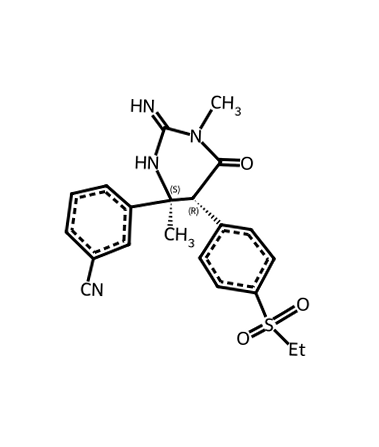 CCS(=O)(=O)c1ccc([C@H]2C(=O)N(C)C(=N)N[C@]2(C)c2cccc(C#N)c2)cc1